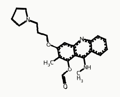 CNc1c2ccccc2nc2cc(OCCCN3CCCC3)c(C)c(OC=O)c12